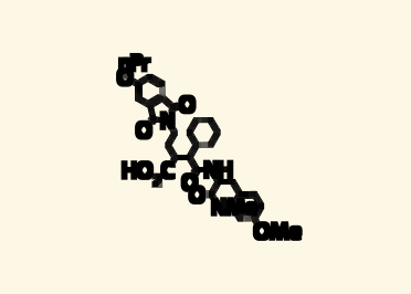 CCCOc1ccc2c(c1)C(=O)N(CCC(C(=O)O)C(C(=O)NC(Cc1ccc(OC)cc1)C(=O)NC)C1CCCCC1)C2=O